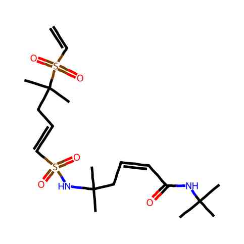 C=CS(=O)(=O)C(C)(C)C/C=C/S(=O)(=O)NC(C)(C)C/C=C\C(=O)NC(C)(C)C